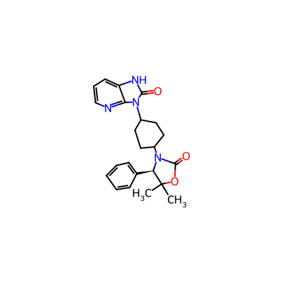 CC1(C)OC(=O)N(C2CCC(n3c(=O)[nH]c4cccnc43)CC2)[C@@H]1c1ccccc1